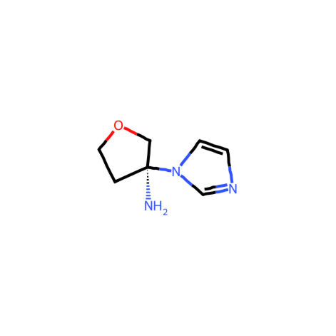 N[C@]1(n2ccnc2)CCOC1